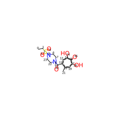 CCS(=O)(=O)N1CCN(C(=O)c2cc(O)c(=O)c(O)cc2C)CC1